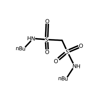 CCCCNS(=O)(=O)CS(=O)(=O)NCCCC